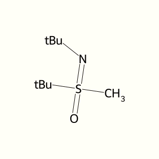 CC(C)(C)N=S(C)(=O)C(C)(C)C